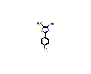 Cc1sc(-c2ccc(C(F)(F)F)cc2)nc1C(C)(C)C